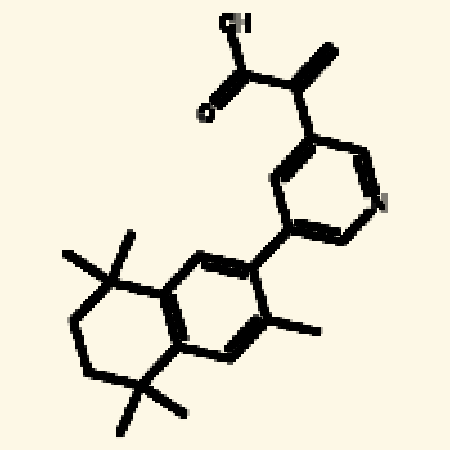 C=C(C(=O)O)c1cncc(-c2cc3c(cc2C)C(C)(C)CCC3(C)C)c1